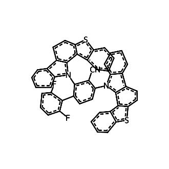 N#Cc1c(-n2c3ccccc3c3ccc4sc5ccccc5c4c32)ccc(-c2c(F)cccc2F)c1-n1c2ccccc2c2ccc3sc4ccccc4c3c21